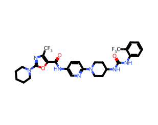 O=C(Nc1ccccc1C(F)(F)F)NC1CCN(c2ccc(NC(=O)c3oc(N4CCCCC4)nc3C(F)(F)F)cn2)CC1